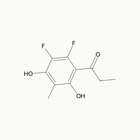 CCC(=O)c1c(O)c(C)c(O)c(F)c1F